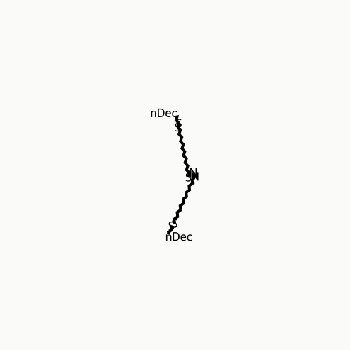 CCCCCCCCCCCCSSCCCCCCCCCCCCc1nnc(CCCCCCCCCCCCSSCCCCCCCCCCCC)s1